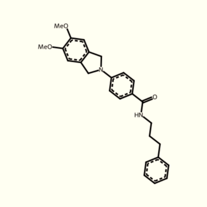 COc1cc2c(cc1OC)CN(c1ccc(C(=O)NCCCc3ccccc3)cc1)C2